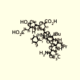 Cc1ccccc1C[C@H](NC(=O)[C@H](CCC(=O)O)NC(=O)[C@H](CC(=O)O)NC(=O)CCC(=O)O)C(=O)N[C@H](C(=O)N[C@@H](CC(C)C)C(=O)N[C@@H](CC(F)(F)F)C(=O)C(N)=O)C(C)(C)C